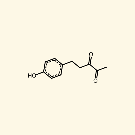 CC(=O)C(=O)CCc1ccc(O)cc1